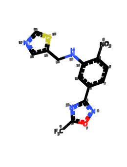 O=[N+]([O-])c1ccc(-c2noc(C(F)(F)F)n2)cc1NCc1cncs1